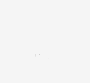 COCCCOc1cc(CC(N)C(C)C)ccc1C(=O)N(C)OC